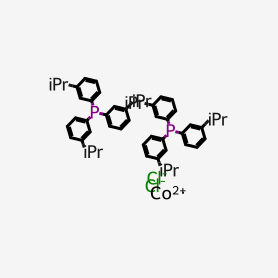 CC(C)c1cccc(P(c2cccc(C(C)C)c2)c2cccc(C(C)C)c2)c1.CC(C)c1cccc(P(c2cccc(C(C)C)c2)c2cccc(C(C)C)c2)c1.[Cl-].[Cl-].[Co+2]